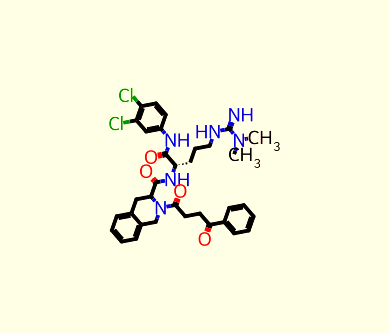 CN(C)C(=N)NCCC[C@H](NC(=O)C1Cc2ccccc2CN1C(=O)CCC(=O)c1ccccc1)C(=O)Nc1ccc(Cl)c(Cl)c1